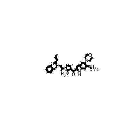 C/C=C/C(=N\C=C(/C)n1ncc(C(=O)c2cc3cc(N4CCOCC4)c(NSC)cc3[nH]2)c1N)Oc1ccccc1F